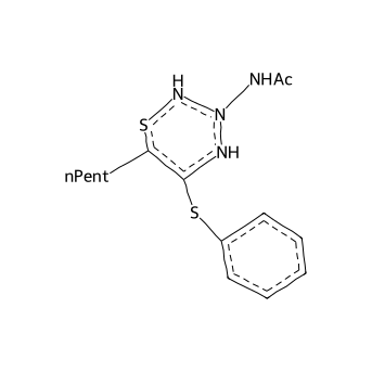 CCCCCc1s[nH]n(NC(C)=O)[nH]c1Sc1ccccc1